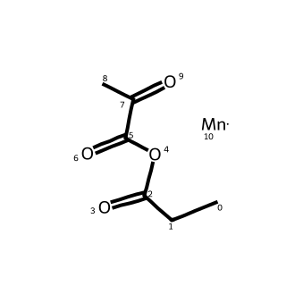 CCC(=O)OC(=O)C(C)=O.[Mn]